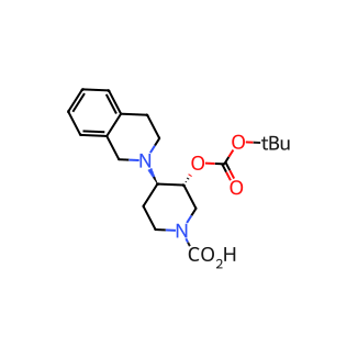 CC(C)(C)OC(=O)O[C@@H]1CN(C(=O)O)CC[C@H]1N1CCc2ccccc2C1